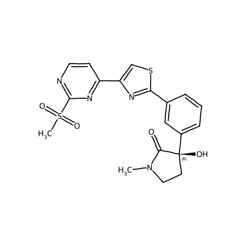 CN1CC[C@@](O)(c2cccc(-c3nc(-c4ccnc(S(C)(=O)=O)n4)cs3)c2)C1=O